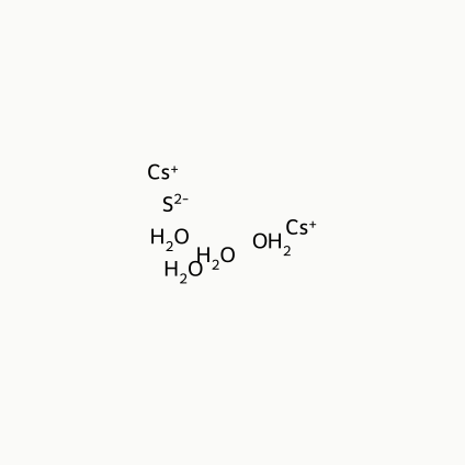 O.O.O.O.[Cs+].[Cs+].[S-2]